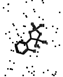 CC1(C)OP(=O)(O)OC1c1ccccc1Cl